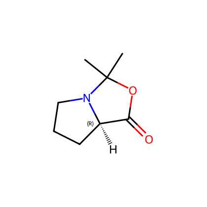 CC1(C)OC(=O)[C@H]2CCCN21